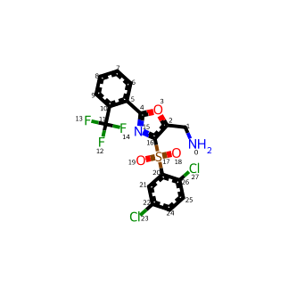 NCc1oc(-c2ccccc2C(F)(F)F)nc1S(=O)(=O)c1cc(Cl)ccc1Cl